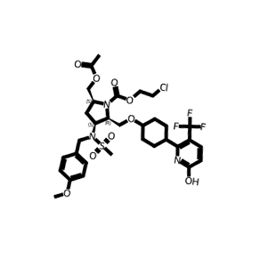 COc1ccc(CN([C@H]2C[C@@H](COC(C)=O)N(C(=O)OCCCl)[C@H]2COC2CCC(c3nc(O)ccc3C(F)(F)F)CC2)S(C)(=O)=O)cc1